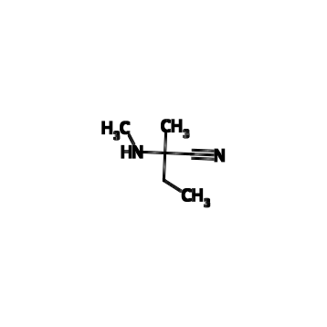 CCC(C)(C#N)NC